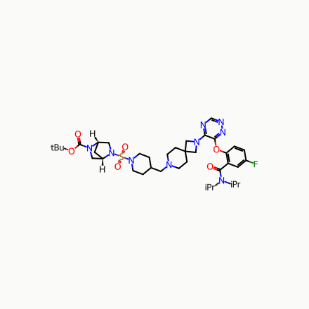 CC(C)N(C(=O)c1cc(F)ccc1Oc1nncnc1N1CC2(CCN(CC3CCN(S(=O)(=O)N4C[C@@H]5C[C@H]4CN5C(=O)OC(C)(C)C)CC3)CC2)C1)C(C)C